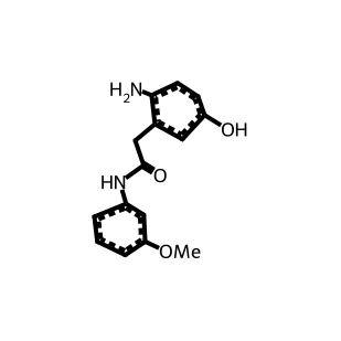 COc1cccc(NC(=O)Cc2cc(O)ccc2N)c1